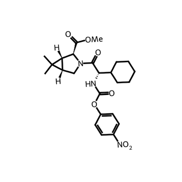 COC(=O)[C@@H]1[C@@H]2[C@H](CN1C(=O)[C@@H](NC(=O)Oc1ccc([N+](=O)[O-])cc1)C1CCCCC1)C2(C)C